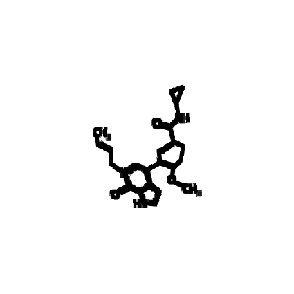 C/C=C/Cn1cc(C2=C(OC)CCC(C(=O)NC3CC3)=C2)c2cc[nH]c2c1=O